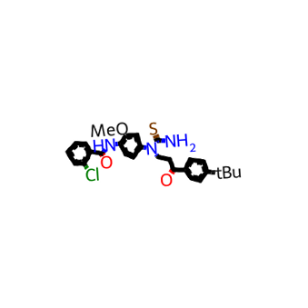 COc1cc(N(CCC(=O)c2ccc(C(C)(C)C)cc2)C(N)=S)ccc1NC(=O)c1ccccc1Cl